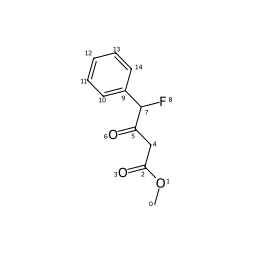 COC(=O)CC(=O)C(F)c1ccccc1